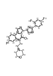 O=c1c2c(-c3nc(-c4ccc(F)cc4F)no3)ncn2c2ccc(F)cc2n1CCN1CCOCC1